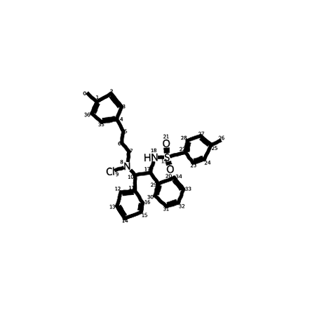 Cc1ccc(CCCN(Cl)C(c2ccccc2)C(NS(=O)(=O)c2ccc(C)cc2)c2ccccc2)cc1